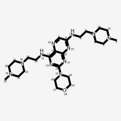 CN1CCN(CCNc2cnc3c(NCCN4CCN(C)CC4)nc(N4CCOCC4)nc3n2)CC1